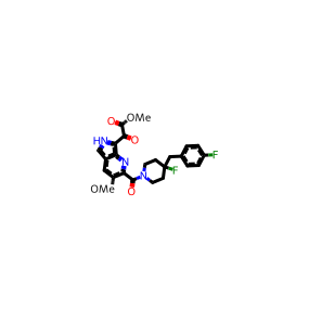 COC(=O)C(=O)c1[nH]cc2cc(OC)c(C(=O)N3CCC(F)(Cc4ccc(F)cc4)CC3)nc12